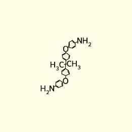 CC(C)(C1=CCC(Oc2ccc(N)cc2)C=C1)c1ccc(Oc2ccc(N)cc2)cc1